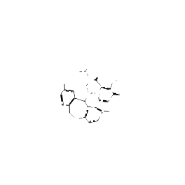 CC(C)N1CN(C2c3cc(F)ccc3CSc3ccc(F)cc32)n2ccc(=O)c(O)c2C1=O